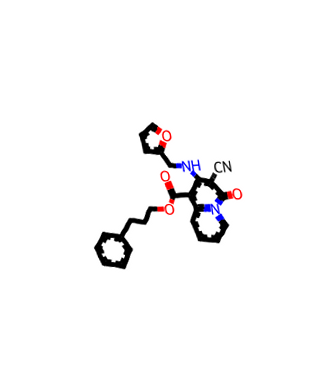 N#Cc1c(NCc2ccco2)c(C(=O)OCCCc2ccccc2)c2ccccn2c1=O